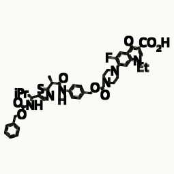 CCn1cc(C(=O)O)c(=O)c2cc(F)c(N3CCN(C(=O)OCc4ccc(NC(=O)[C@H](C)c5ncc([C@@H](NC(=O)OCc6ccccc6)C(C)C)s5)cc4)CC3)cc21